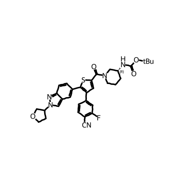 CC(C)(C)OC(=O)N[C@@H]1CCCN(C(=O)c2cc(-c3ccc(C#N)c(F)c3)c(-c3ccc4nn(C5CCOC5)cc4c3)s2)C1